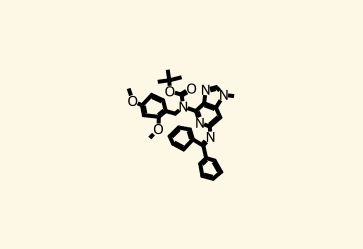 COc1ccc(CN(C(=O)OC(C)(C)C)c2nc(N=C(c3ccccc3)c3ccccc3)cc3c2ncn3C)c(OC)c1